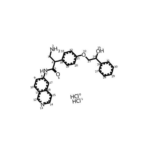 Cl.Cl.NCC(C(=O)Nc1ccc2cnccc2c1)c1ccc(OCC(O)c2ccccc2)cc1